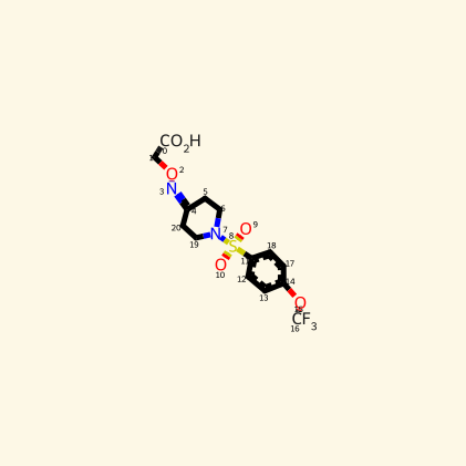 O=C(O)CON=C1CCN(S(=O)(=O)c2ccc(OC(F)(F)F)cc2)CC1